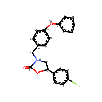 O=C1OC(c2ccc(F)cc2)CN1Cc1ccc(Oc2ccccc2)cc1